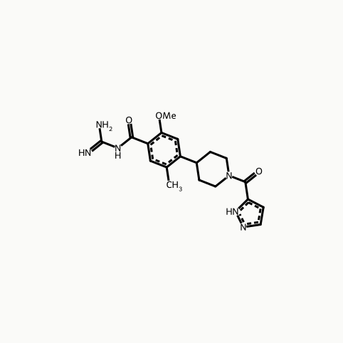 COc1cc(C2CCN(C(=O)c3ccn[nH]3)CC2)c(C)cc1C(=O)NC(=N)N